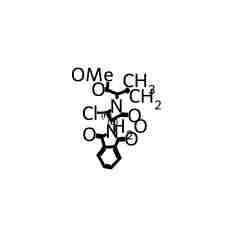 C=C(C)C(C(=O)OC)N1C(=O)[C@H](N2C(=O)c3ccccc3C2=O)[C@H]1Cl.O